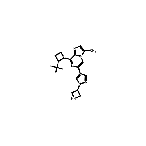 Cc1cnc2c(N3CC[C@@H]3C(F)(F)F)nc(-c3cnn(C4CNC4)c3)cn12